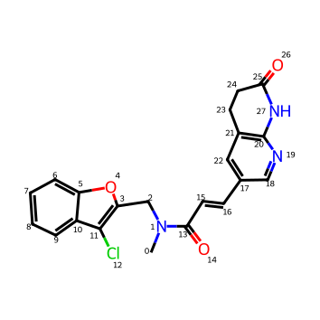 CN(Cc1oc2ccccc2c1Cl)C(=O)C=Cc1cnc2c(c1)CCC(=O)N2